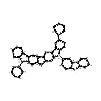 c1ccc(-c2ccc3c(c2)c2cc4c(cc2n3-c2ccc3oc5ccccc5c3c2)sc2cc3c(cc24)c2ccccc2n3-c2ccccc2)cc1